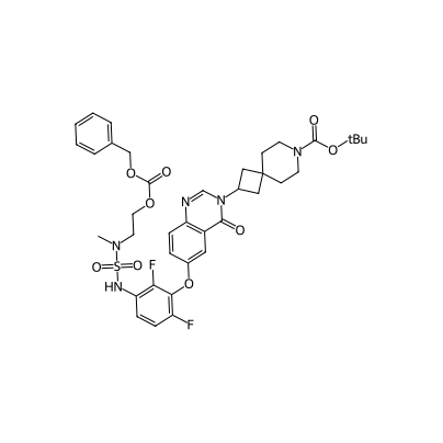 CN(CCOC(=O)OCc1ccccc1)S(=O)(=O)Nc1ccc(F)c(Oc2ccc3ncn(C4CC5(CCN(C(=O)OC(C)(C)C)CC5)C4)c(=O)c3c2)c1F